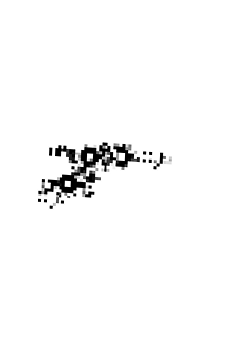 CCCOc1ccc(S(=O)(=O)N2CCC(C(=O)OCC)CC2)cc1-c1nc2cc(Cl)c([N+](=O)[O-])cc2c(=O)[nH]1